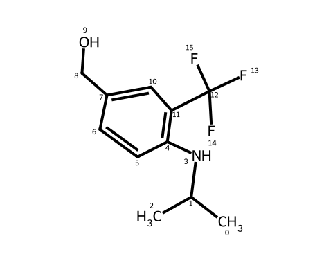 CC(C)Nc1ccc(CO)cc1C(F)(F)F